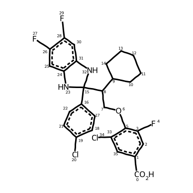 O=C(O)c1cc(F)c(OCC(C2CCCCC2)C2(c3ccc(Cl)cc3)Nc3cc(F)c(F)cc3N2)c(Cl)c1